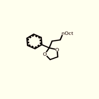 CCCCCCCCCCC1(c2ccccc2)OCCO1